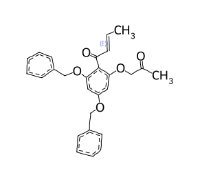 C/C=C/C(=O)c1c(OCC(C)=O)cc(OCc2ccccc2)cc1OCc1ccccc1